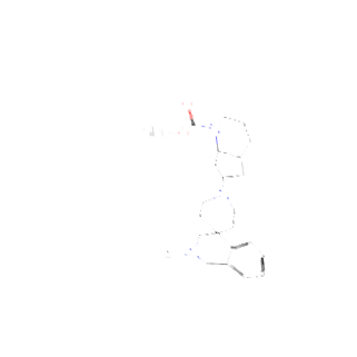 CCCOC(=O)N1CCCC2CC(N3CCC4(CC3)CN(C(C)=O)Cc3ccccc34)CC21